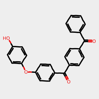 O=C(c1ccccc1)c1ccc(C(=O)c2ccc(Oc3ccc(O)cc3)cc2)cc1